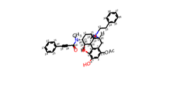 CC(=O)Oc1cc(O)c2c3c1C[C@@H]1[C@@H]4CC[C@@H](N(C)C(=O)C#Cc5ccccc5)[C@H](O2)[C@]34CCN1CCc1ccccc1